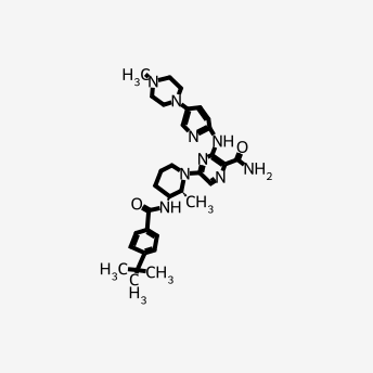 C[C@@H]1[C@H](NC(=O)c2ccc(C(C)(C)C)cc2)CCCN1c1cnc(C(N)=O)c(Nc2ccc(N3CCN(C)CC3)cn2)n1